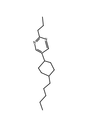 CCCCCC1CCC(c2cnc(CCC)nc2)CC1